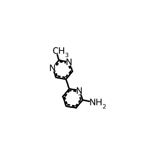 Cc1ncc(-c2cccc(N)n2)cn1